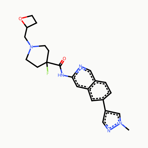 Cn1cc(-c2ccc3cnc(NC(=O)C4(F)CCN(CC5CCO5)CC4)cc3c2)cn1